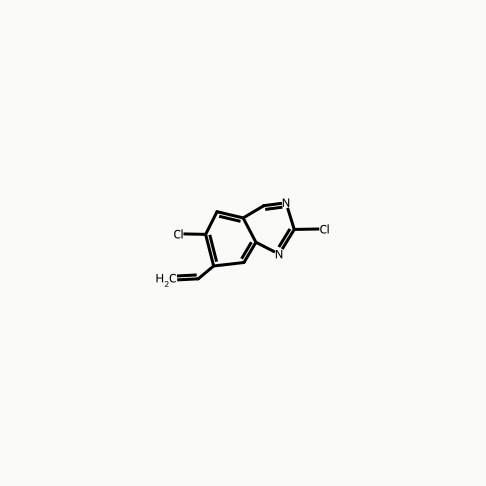 C=Cc1cc2nc(Cl)ncc2cc1Cl